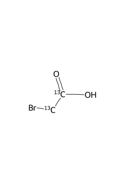 O=[13C](O)[13CH2]Br